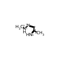 CN/N=C\C(C)=N